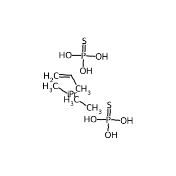 C=CC.CC.CC(C)C.OP(O)(O)=S.OP(O)(O)=S